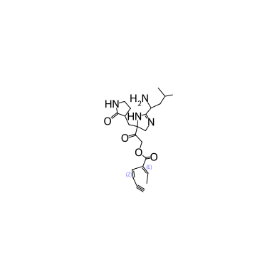 C#C/C=C\C(=C/C)C(=O)OCC(=O)C1(CC2CCNC2=O)CN=C(C(N)CC(C)C)N1